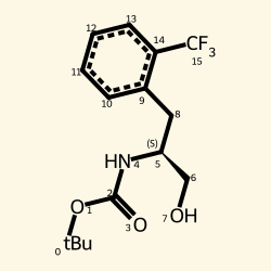 CC(C)(C)OC(=O)N[C@H](CO)Cc1ccccc1C(F)(F)F